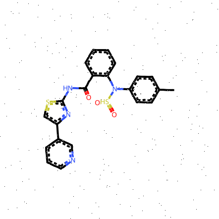 Cc1ccc(N(c2ccccc2C(=O)Nc2nc(-c3cccnc3)cs2)[SH](=O)=O)cc1